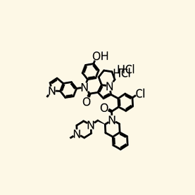 CN1CCN(C[C@@H]2Cc3ccccc3CN2C(=O)c2ccc(Cl)cc2-c2cc(C(=O)N(c3ccc(O)cc3)c3ccc4c(ccn4C)c3)c3n2CCCC3)CC1.Cl.Cl